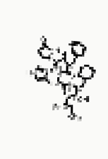 C=C[C@@H](C[C@H](O)[C@H](CC1CCCCC1)NC(=O)[C@H](Cc1c[nH]cn1)NC(=O)[C@H](Cc1ccccc1)NC(=O)[C@H]1CCC(=O)N1)C(C)C